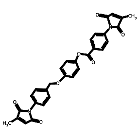 CC1=CC(=O)N(c2ccc(COc3ccc(OC(=O)c4ccc(N5C(=O)C=C(C)C5=O)cc4)cc3)cc2)C1=O